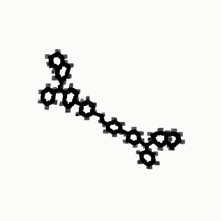 C(=C\c1ccc(-c2ccc(N(c3ccccc3)c3ccc4cccnc4c3)cc2)cc1)/c1ccc(-c2ccc(N(c3ccccc3)c3ccc4cccnc4c3)cc2)cc1